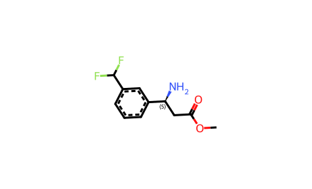 COC(=O)C[C@H](N)c1cccc(C(F)F)c1